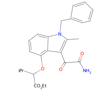 CCOC(=O)C(Oc1cccc2c1c(C(=O)C(N)=O)c(C)n2Cc1ccccc1)C(C)C